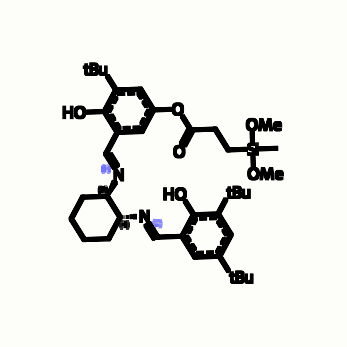 CO[Si](C)(CCC(=O)Oc1cc(/C=N/[C@@H]2CCCC[C@H]2/N=C/c2cc(C(C)(C)C)cc(C(C)(C)C)c2O)c(O)c(C(C)(C)C)c1)OC